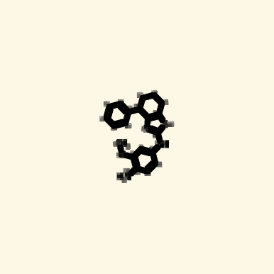 COc1cc(Nc2nc3c(s2)CCCC3c2ccccc2)ccc1N